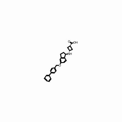 O=C(O)[C@H]1C[C@H](NC2CCc3cc(OCc4ccc(-c5ccccc5)cc4)ccc32)C1